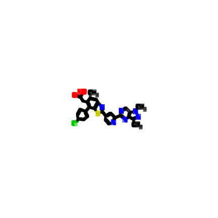 Cc1cc2nc(-c3ccnc(-c4ncc5c(n4)c(C)nn5C)c3)sc2c(-c2ccc(Cl)cc2)c1CC(=O)O